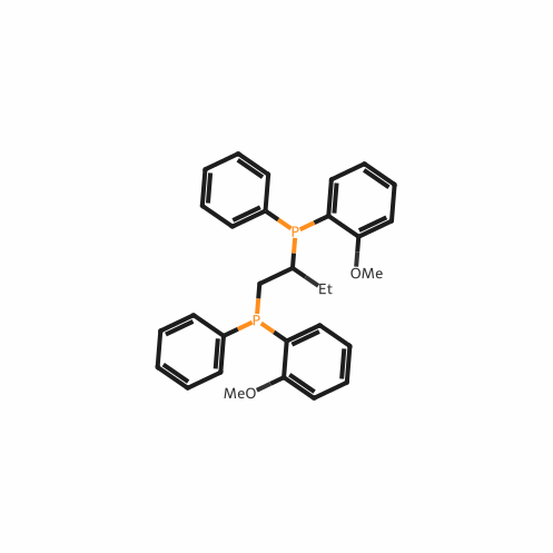 CCC(CP(c1ccccc1)c1ccccc1OC)P(c1ccccc1)c1ccccc1OC